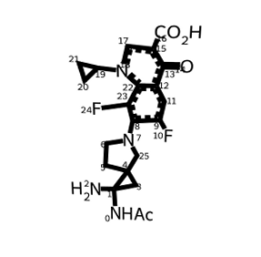 CC(=O)NC1(N)CC12CCN(c1c(F)cc3c(=O)c(C(=O)O)cn(C4CC4)c3c1F)C2